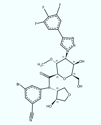 CO[C@@H]1[C@@H](n2cc(-c3cc(F)c(F)c(F)c3)nn2)[C@@H](O)[C@@H](CO)O[C@H]1C(=O)N(c1cc(Br)cc(C#N)c1)[C@@H]1COC[C@H]1O